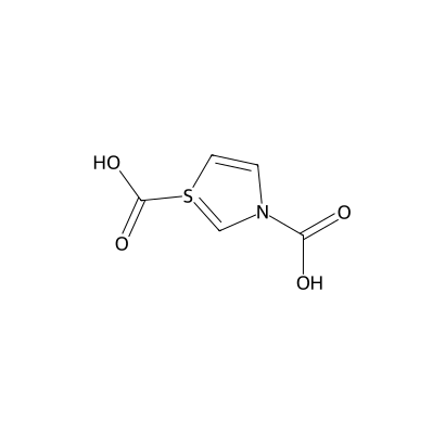 O=C(O)N1C=CS(C(=O)O)=C1